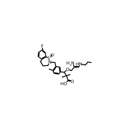 CCCN/C=C(\N)COC(c1ccc(C)c(CN2CCCc3ccc(F)cc3[S+]2[O-])c1)C(C)(C)C(=O)O